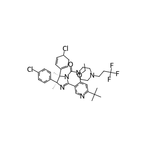 CCOc1cc(C(C)(C)C)ncc1C1=N[C@@](C)(c2ccc(Cl)cc2)[C@@](C)(C2=CCC(Cl)C=C2)N1C(=O)N1CCN(CCC(F)(F)F)CC1